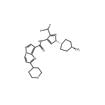 C[C@H]1CC[C@H](n2cc(NC(=O)c3cnn4ccc(C5CCOCC5)nc34)c(C(F)F)n2)CC1